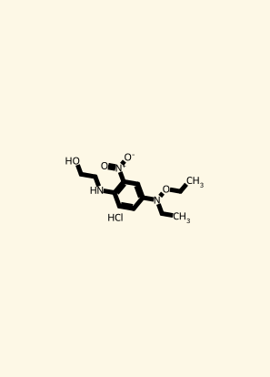 CCON(CC)c1ccc(NCCO)c([N+](=O)[O-])c1.Cl